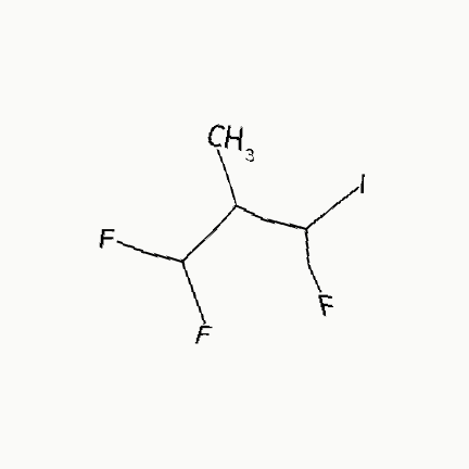 CC(C(F)F)C(F)I